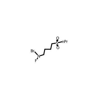 CCCS(=O)(=O)CCCCN(F)Br